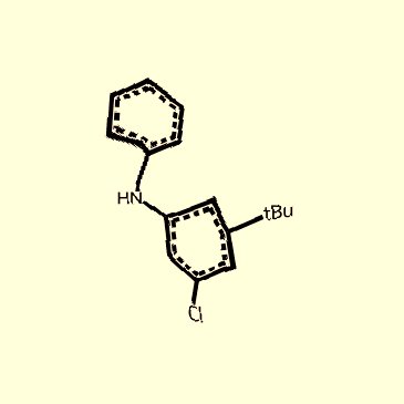 CC(C)(C)c1cc(Cl)cc(Nc2ccccc2)c1